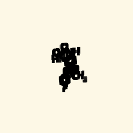 CN(c1cccc(F)c1)S(=O)(=O)c1ccc2[nH]c(=O)c(=O)[nH]c2c1